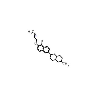 C/C=C/COc1ccc2cc(C3CCC4CC(C)CCC4C3)ccc2c1F